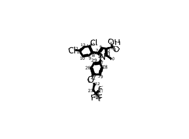 Cc1c(C(=O)O)cc(-c2ccc(Cl)cc2Cl)n1-c1ccc(OCCC(F)(F)F)cc1